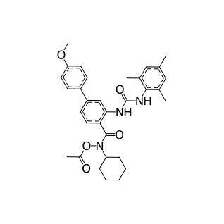 COc1ccc(-c2ccc(C(=O)N(OC(C)=O)C3CCCCC3)c(NC(=O)Nc3c(C)cc(C)cc3C)c2)cc1